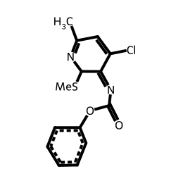 CSC1N=C(C)C=C(Cl)C1=NC(=O)Oc1ccccc1